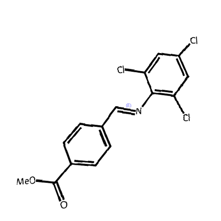 COC(=O)c1ccc(/C=N/c2c(Cl)cc(Cl)cc2Cl)cc1